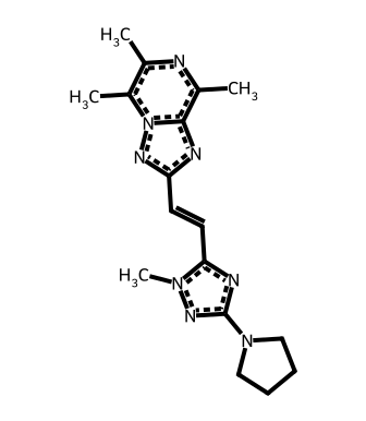 Cc1nc(C)c2nc(/C=C/c3nc(N4CCCC4)nn3C)nn2c1C